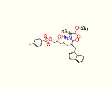 CCCC[C@H](NC(=O)[C@@H](CSCC(O)COS(=O)(=O)c1ccc(C)cc1)Cc1cccc2ccccc12)C(=O)OC(C)(C)C